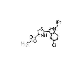 CC(C)Cn1cc(C2NC(C3OC(C)O3)CS2)c2cc(Cl)ccc21